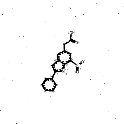 O=C(O)Cc1cc([N+](=O)[O-])c2[nH]c(-c3ccccc3)cc2c1